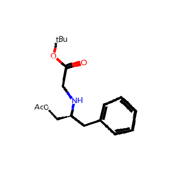 CC(=O)OC[C@H](Cc1ccccc1)NCC(=O)OC(C)(C)C